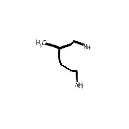 CC(C[NH])CC[NH]